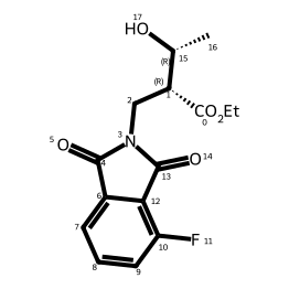 CCOC(=O)[C@H](CN1C(=O)c2cccc(F)c2C1=O)[C@@H](C)O